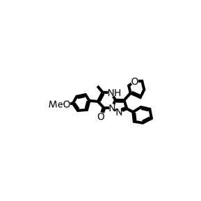 COc1ccc(-c2c(C)[nH]c3c(C4=CCCOC4)c(-c4ccccc4)nn3c2=O)cc1